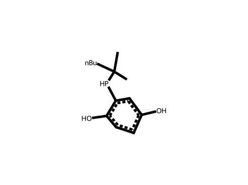 CCCCC(C)(C)Pc1cc(O)ccc1O